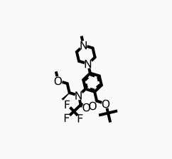 COC[C@H](C)N(C(=O)C(F)(F)F)c1cc(N2CCN(C)CC2)ccc1C(=O)OC(C)(C)C